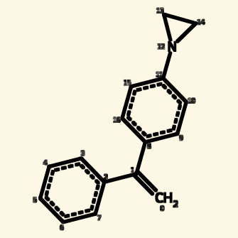 C=C(c1ccccc1)c1ccc(N2CC2)cc1